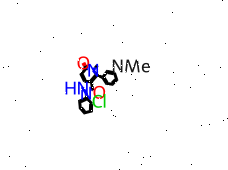 CNc1cccc(-c2c3c(=O)n(-c4ccccc4Cl)[nH]c3cc(=O)n2C)c1